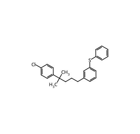 CC(C)(CCCc1cccc(Sc2ccccc2)c1)c1ccc(Cl)cc1